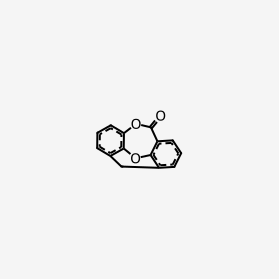 O=C1Oc2cccc3c2Oc2c(cccc21)C3